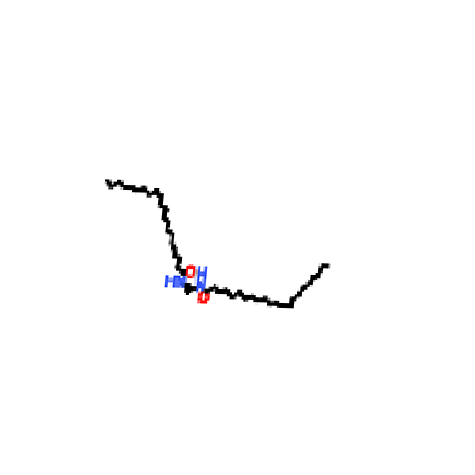 CCCCCCCC/C=C\CCCCCCCCCCCC(=O)N[C@H]1C[C@H]1NC(=O)CCCCCCCCCCC/C=C\CCCCCCCC